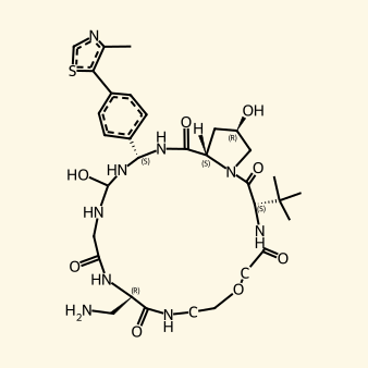 Cc1ncsc1-c1ccc([C@@H]2NC(=O)[C@@H]3C[C@@H](O)CN3C(=O)[C@H](C(C)(C)C)NC(=O)COCCNC(=O)[C@@H](CN)NC(=O)CNC(O)N2)cc1